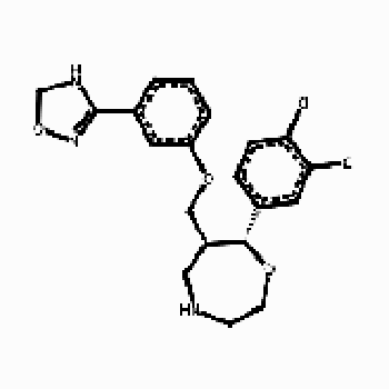 Clc1ccc([C@@H]2OCCNC[C@H]2COc2cccc(C3=NOCN3)c2)cc1Cl